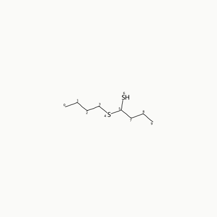 CCCCSC(S)CCC